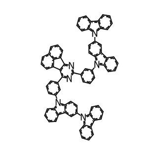 c1cc(-c2nc(-c3cccc(-n4c5ccccc5c5cc(-n6c7ccccc7c7ccccc76)ccc54)c3)c3c(n2)-c2cccc4cccc-3c24)cc(-n2c3ccccc3c3cc(-n4c5ccccc5c5ccccc54)ccc32)c1